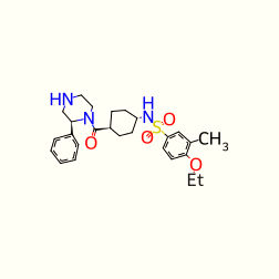 CCOc1ccc(S(=O)(=O)N[C@H]2CC[C@H](C(=O)N3CCNC[C@@H]3c3ccccc3)CC2)cc1C